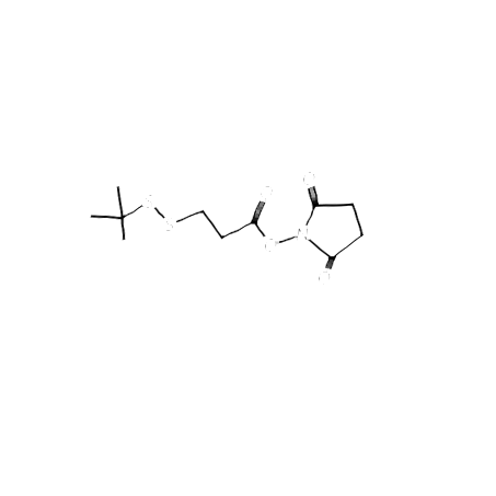 CC(C)(C)SSCCC(=O)ON1C(=O)CCC1=O